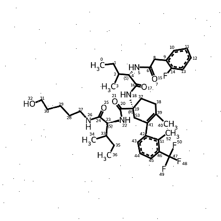 CCC(C)[C@H](NC(=O)Cc1ccccc1F)C(=O)N[C@]1(C(=O)N[C@H](C(=O)NCCCCCO)C(C)CC)CCC(C)=C(c2cccc(C(F)(F)F)c2C)C1